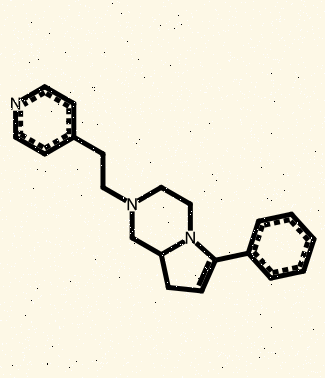 C1=C(c2ccccc2)N2CCN(CCc3ccncc3)CC2C1